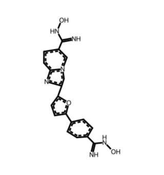 N=C(NO)c1ccc(-c2ccc(-c3cn4cc(C(=N)NO)ccc4n3)o2)cc1